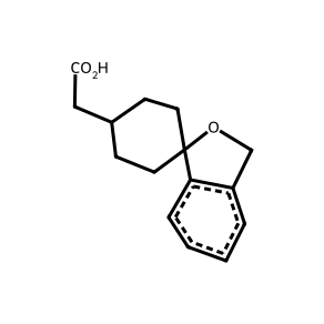 O=C(O)CC1CCC2(CC1)OCc1ccccc12